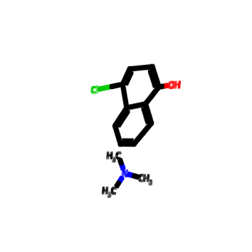 CN(C)C.Oc1ccc(Cl)c2ccccc12